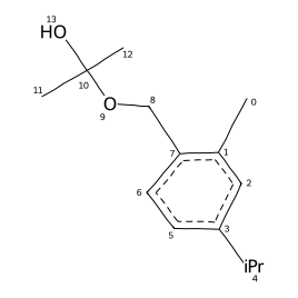 Cc1cc(C(C)C)ccc1COC(C)(C)O